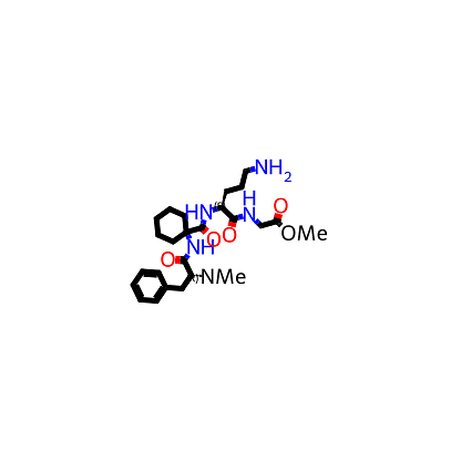 CN[C@H](Cc1ccccc1)C(=O)NC1(C(=O)N[C@@H](CCCN)C(=O)NCC(=O)OC)CCCCC1